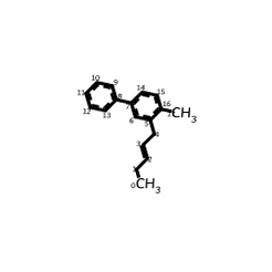 CCC=CCc1cc(-c2ccccc2)ccc1C